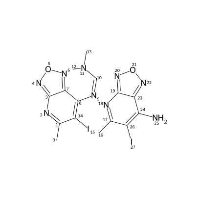 Cc1nc2nonc2c(/N=C\N(C)C)c1I.Cc1nc2nonc2c(N)c1I